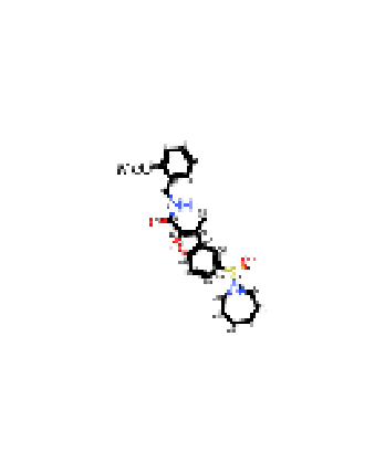 COc1ccccc1CNC(=O)c1oc2ccc([S+]([O-])N3CCCCCC3)cc2c1C